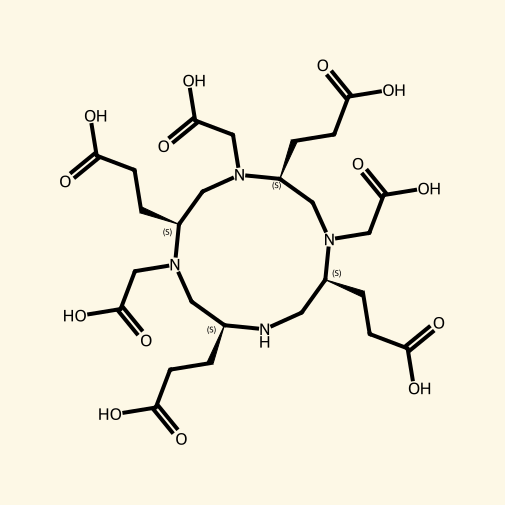 O=C(O)CC[C@H]1CN(CC(=O)O)[C@@H](CCC(=O)O)CN(CC(=O)O)[C@@H](CCC(=O)O)CN(CC(=O)O)[C@@H](CCC(=O)O)CN1